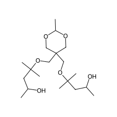 CC(O)CC(C)(C)OCC1(COC(C)(C)CC(C)O)COC(C)OC1